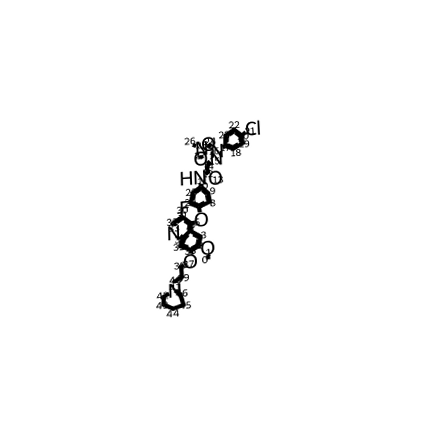 COc1cc2c(Oc3ccc(NC(=O)c4nn(-c5ccc(Cl)cc5)on(C)o4)cc3F)ccnc2cc1OCCCN1CCCCC1